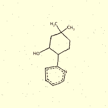 CC1(C)CCC(c2ccccn2)C(O)C1